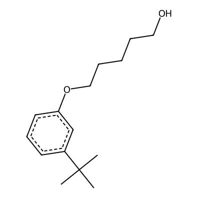 CC(C)(C)c1cccc(OCCCCCO)c1